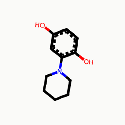 Oc1ccc(O)c(N2CCCCC2)c1